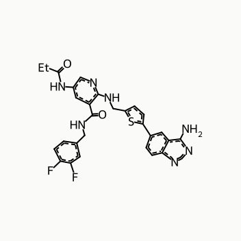 CCC(=O)Nc1cnc(NCc2ccc(-c3ccc4ncnc(N)c4c3)s2)c(C(=O)NCc2ccc(F)c(F)c2)c1